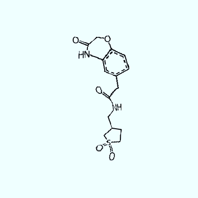 O=C(Cc1ccc2c(c1)NC(=O)CO2)NCC1CCS(=O)(=O)C1